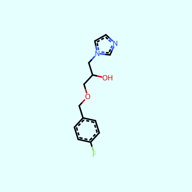 OC(COCc1ccc(F)cc1)Cn1ccnc1